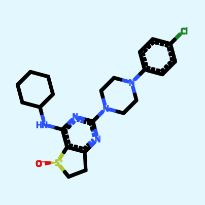 [O-][S@+]1CCc2nc(N3CCN(c4ccc(Cl)cc4)CC3)nc(NC3CCCCC3)c21